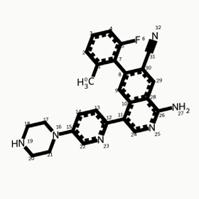 Cc1cccc(F)c1-c1cc2c(-c3ccc(N4CCNCC4)cn3)cnc(N)c2cc1C#N